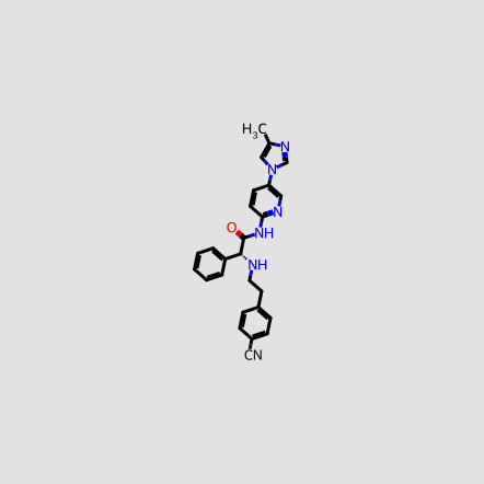 Cc1cn(-c2ccc(NC(=O)[C@H](NCCc3ccc(C#N)cc3)c3ccccc3)nc2)cn1